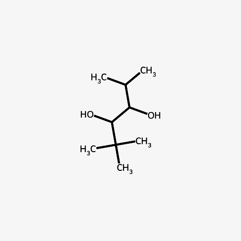 CC(C)C(O)C(O)C(C)(C)C